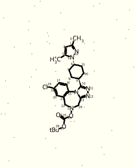 Cc1cc(C)n([C@H]2CC[C@H](c3nnc4n3-c3ccc(Cl)cc3CN(OC(=O)OC(C)(C)C)C4)CC2)n1